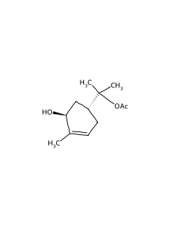 CC(=O)OC(C)(C)[C@@H]1CC=C(C)[C@@H](O)C1